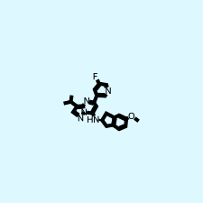 COc1ccc2c(c1)C[C@H](Nc1cc(-c3cncc(F)c3)nc3c(C(C)C)cnn13)C2